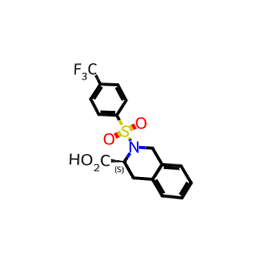 O=C(O)[C@@H]1Cc2ccccc2CN1S(=O)(=O)c1ccc(C(F)(F)F)cc1